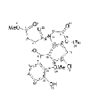 COC(=O)CC1OC(c2cccc(O)c2OC)c2cc(Cl)ccc2N(CC(=O)OC(C)(C)C)C1=O